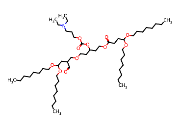 CCCCCCCCOC(CCC(=O)OCCC(CCOCC(C=O)CC(OCCCCCCCC)OCCCCCCCC)OC(=O)OCCCN(CC)CC)OCCCCCCCC